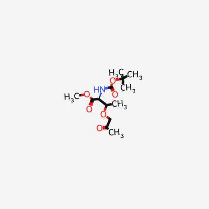 COC(=O)[C@@H](NC(=O)OC(C)(C)C)C(C)OCC(C)=O